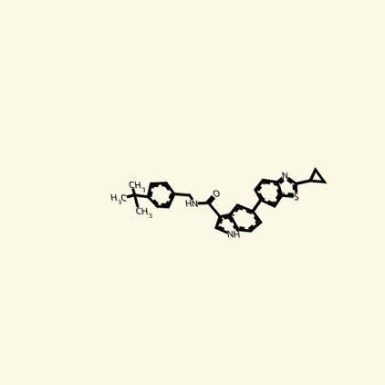 CC(C)(C)c1ccc(CNC(=O)c2c[nH]c3ccc(-c4ccc5nc(C6CC6)sc5c4)cc23)cc1